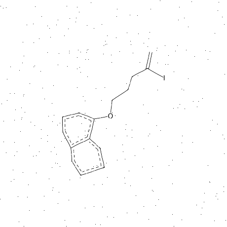 C=C(I)CCCOc1cccc2ccccc12